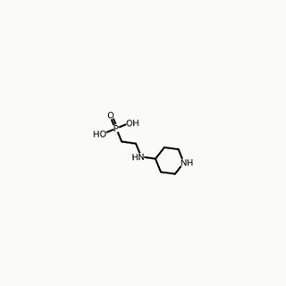 O=P(O)(O)CCNC1CCNCC1